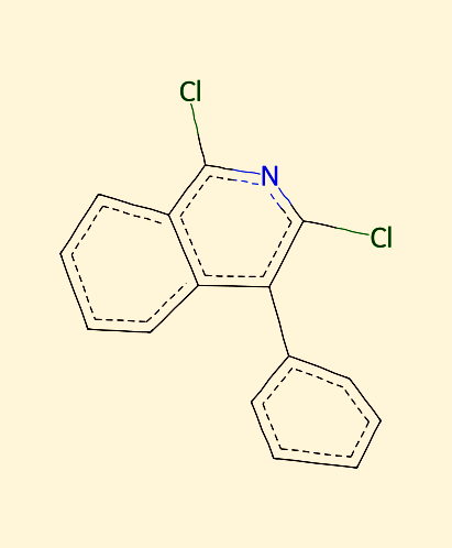 Clc1nc(Cl)c2ccccc2c1-c1ccccc1